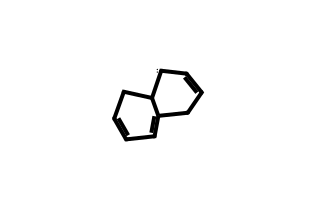 [C]1C=CCC2=CC=CCC12